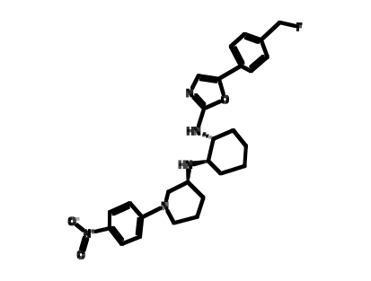 O=[N+]([O-])c1ccc(N2CCC[C@H](N[C@@H]3CCCC[C@H]3Nc3ncc(-c4ccc(CF)cc4)o3)C2)cc1